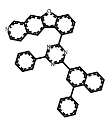 c1ccc(-c2nc(-c3cc(-c4ccccc4)c4ccccc4c3)nc(-c3cccc4oc5cc6cnccc6cc5c34)n2)cc1